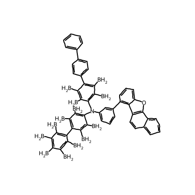 Bc1c(B)c(B)c(-c2c(B)c(B)c(N(c3cccc(-c4cccc5oc6c7ccccc7ccc6c45)c3)c3c(B)c(B)c(-c4ccc(-c5ccccc5)cc4)c(B)c3B)c(B)c2B)c(B)c1B